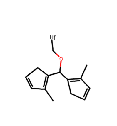 CC1=C(C(O[CH2][Hf])C2=C(C)C=CC2)CC=C1